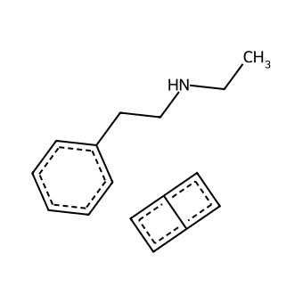 CCNCCc1ccccc1.c1cc2ccc1-2